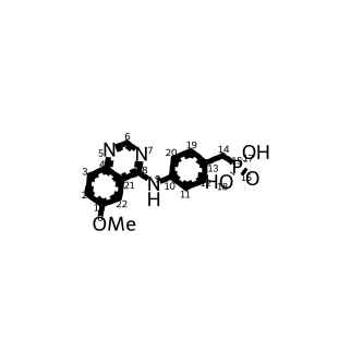 COc1ccc2ncnc(Nc3ccc(CP(=O)(O)O)cc3)c2c1